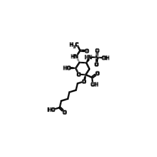 CC(=O)N[C@@H]1[C@@H](NS(=O)(=O)O)C[C@](OCCCCCC(=O)O)(C(=O)O)O[C@H]1O